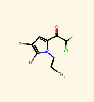 CCCn1c(C(=O)C(Cl)Cl)cc(Br)c1Br